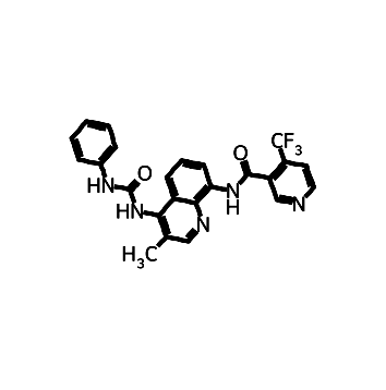 Cc1cnc2c(NC(=O)c3cnccc3C(F)(F)F)cccc2c1NC(=O)Nc1ccccc1